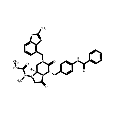 CNC(=O)N(C)N1CC(=O)N2[C@@H](Cc3ccc(NC(=O)c4ccccc4)cc3)C(=O)N(Cc3cccc4sc(N)nc34)C[C@@H]21